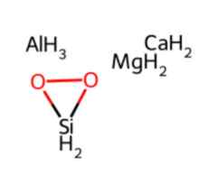 O1O[SiH2]1.[AlH3].[CaH2].[MgH2]